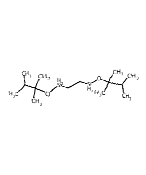 CC(C)C(C)(C)O[SiH2]CC[SiH2]OC(C)(C)C(C)C